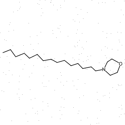 CCCCCCCCCCCCCCCN1CCOCC1